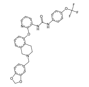 O=C(Nc1ccc(OC(F)(F)F)cc1)Nc1cccnc1Oc1cccc2c1CCN(Cc1ccc3c(c1)OCO3)C2